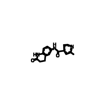 Cc1cc(C(=O)Nc2ccc3c(c2)CCC(=O)N3)ccn1